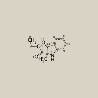 CCOC(=O)C1(C)Nc2ccccc2C1=O